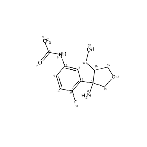 NC1(c2cc(NC(=O)C(F)(F)F)ccc2F)COCC1CO